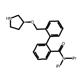 CC(C)N(C(=O)c1ccccc1-c1ccccc1CO[C@H]1CCNC1)C(C)C